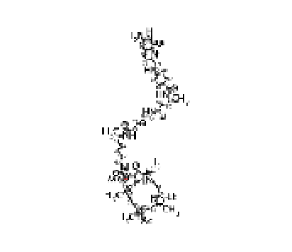 CC[C@H]1c2cc3[nH]c4c(c3C)C(=O)C(C(=O)OC)c4c3nc(cc4[nH]c(cc(n2)[C@@H]1C)c(C(C)=O)c4C)[C@@H](C)[C@@H]3CCC(=O)NCCSSC[C@@H](C)NC(=O)CCOCCNC(=O)CC[C@@H](C)NC(=O)c1ccc(NCc2cnc3nc(N)[nH]c(=O)c3n2)cc1